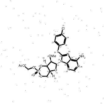 CO[C@@H]1[C@@H]2OP(=O)(OCOC(C)=O)OC[C@H]2O[C@H]1n1c(Sc2ccc(Cl)cc2)nc2c(N)ncnc21